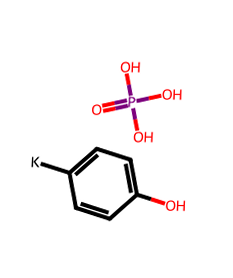 O=P(O)(O)O.Oc1cc[c]([K])cc1